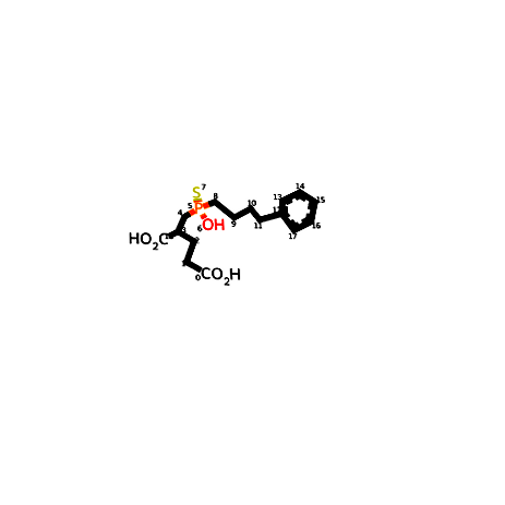 O=C(O)CCC(CP(O)(=S)CCCCc1ccccc1)C(=O)O